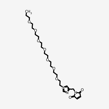 CCCOCCOCCOCCOCCOCCOCCOCCn1cnc(CN2C(=O)C=CC2=O)c1